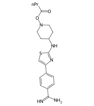 CCCC(=O)ON1CCC(Nc2nc(-c3ccc(C(=N)N)cc3)cs2)CC1